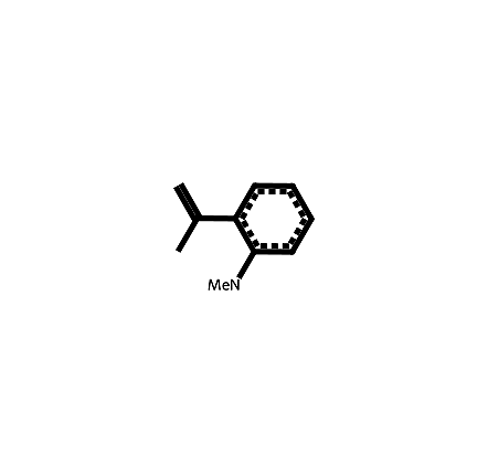 C=C(C)c1ccccc1NC